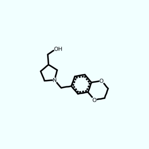 OCC1CCN(Cc2ccc3c(c2)OCCO3)C1